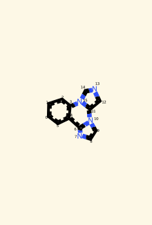 c1ccc2c(c1)c1nccn1c1cncn21